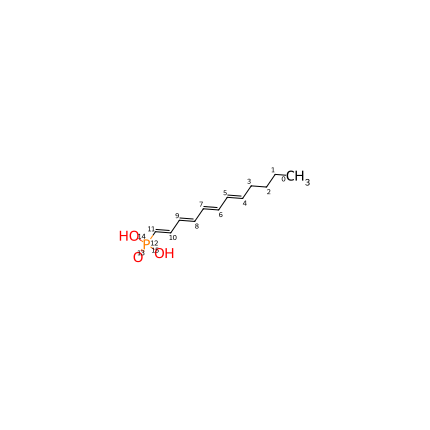 CCCC/C=C/C=C/C=C/C=C/P(=O)(O)O